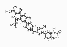 O=C1CSc2ccc(N3C[C@@H](CN4CCN(c5cc6c(cc5F)c(=O)c(C(=O)O)cn6C5CC5)CC4)OC3=O)nc2N1